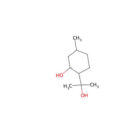 CC1CCC(C(C)(C)O)[C](O)C1